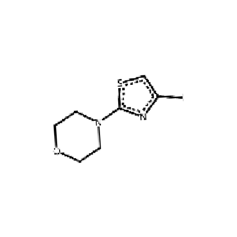 Ic1csc(N2CCOCC2)n1